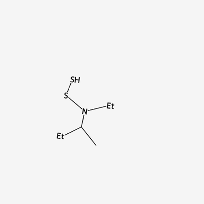 CCC(C)N(CC)SS